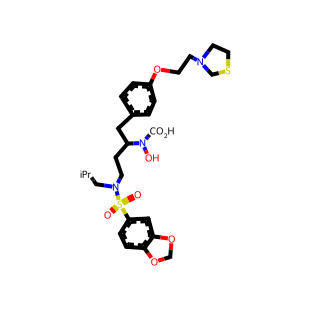 CC(C)CN(CCC(Cc1ccc(OCCN2CCSC2)cc1)N(O)C(=O)O)S(=O)(=O)c1ccc2c(c1)OCO2